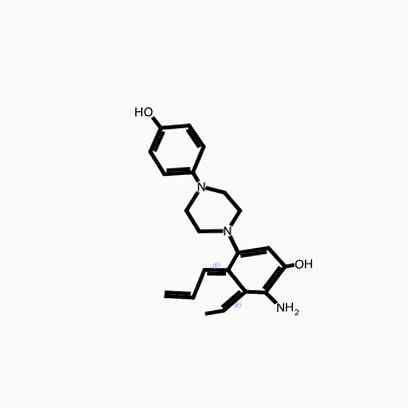 C=C/C=c1/c(N2CCN(c3ccc(O)cc3)CC2)cc(O)c(N)/c1=C/C